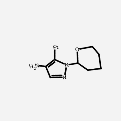 CCc1c(N)cnn1C1CCCCO1